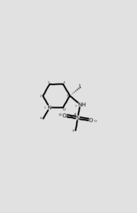 CN1CCC[C@@](C)(NS(C)(=O)=O)C1